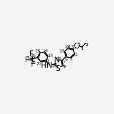 CCOc1ccc(-c2csc(Nc3cccc(C(F)(F)F)c3)n2)cc1